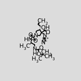 C=CC[C@H]1CN(S(=O)(=O)N[C@H](C)CNC(=O)OC(C)(C)C)C[C@@]1(N=[N+]=[N-])C(=O)O